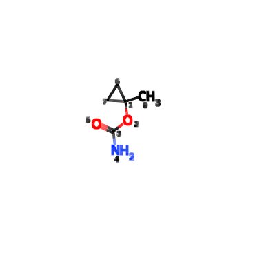 CC1(OC(N)=O)CC1